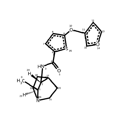 C[C@H]1[C@H](NC(=O)c2ccc(Oc3ccoc3)s2)C2CCN1CC2